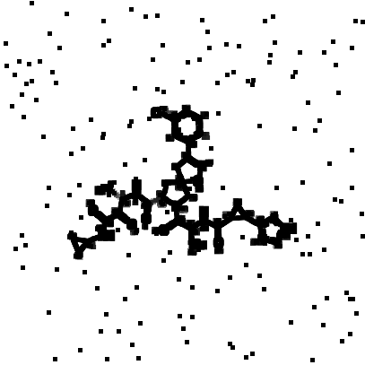 CCC[C@H](NC(=O)[C@@H]1C[C@]2(CC(c3cccc(Cl)c3)=NO2)CN1C(=O)[C@@H](NC(=O)C1CC1c1c[nH]cn1)C(C)(C)C)C(=O)C(=O)NC1CC1